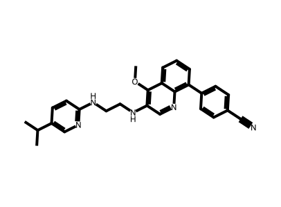 COc1c(NCCNc2ccc(C(C)C)cn2)cnc2c(-c3ccc(C#N)cc3)cccc12